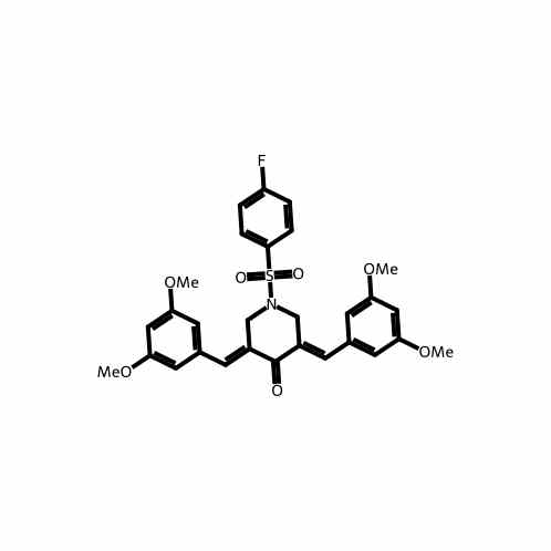 COc1cc(C=C2CN(S(=O)(=O)c3ccc(F)cc3)CC(=Cc3cc(OC)cc(OC)c3)C2=O)cc(OC)c1